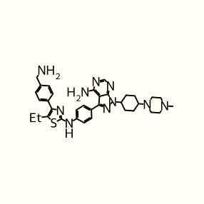 CCc1sc(Nc2ccc(-c3nn(C4CCC(N5CCN(C)CC5)CC4)c4ncnc(N)c34)cc2)nc1-c1ccc(CN)cc1